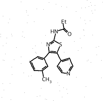 CCC(=O)Nc1nc(-c2cccc(C)c2)c(-c2ccncc2)s1